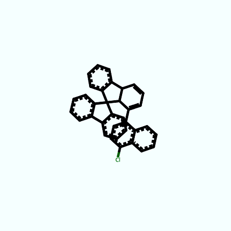 Clc1ccc(C2=CC=CC3c4ccccc4C4(c5ccccc5-c5ccccc54)C23)c2ccccc12